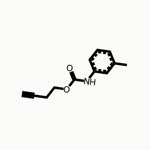 C#CCCOC(=O)Nc1cccc(C)c1